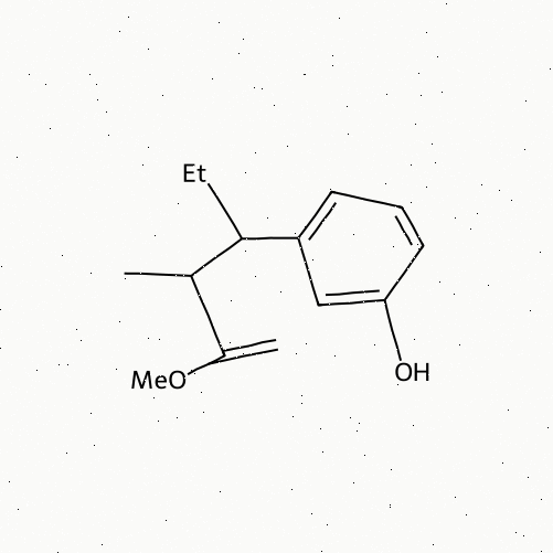 C=C(OC)C(C)C(CC)c1cccc(O)c1